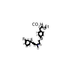 CCO[C@@H](Cc1ccc(OC/C=C(/C)C#CC2(F)C=CC=C(F)C2)cc1)C(=O)O